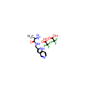 CC(N)C(=O)NCc1cc2cnccc2[nH]1.O=C(O)C(F)(F)F.O=C(O)C(F)(F)F